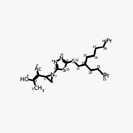 CC(=O)/C(=C(/C)O)C1CN1c1nnc(SCC(CCCCC(C)C)CCC(C)C)s1